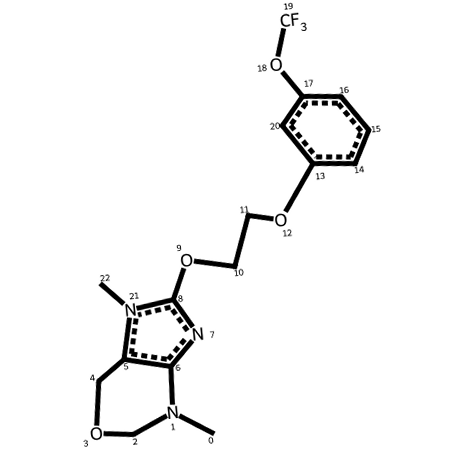 CN1COCc2c1nc(OCCOc1cccc(OC(F)(F)F)c1)n2C